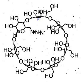 [N-]=[N+]=NCC1O[C@H]2OC3C(CO)OC(OC4C(CO)OC(OC5C(CO)OC(OC6C(CO)OC(OC7C(CO)OC(OC(CCO)/C(O)=C(/O)C(O)OC1C(O)C2O)C(O)C7O)C(O)C6O)C(O)C5O)C(O)C4O)C(O)C3O